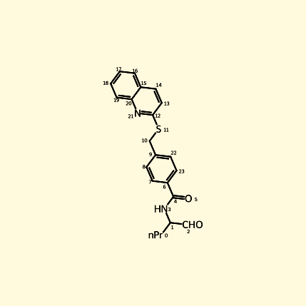 CCCC(C=O)NC(=O)c1ccc(CSc2ccc3ccccc3n2)cc1